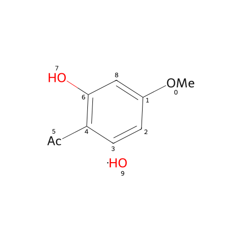 COc1ccc(C(C)=O)c(O)c1.[OH]